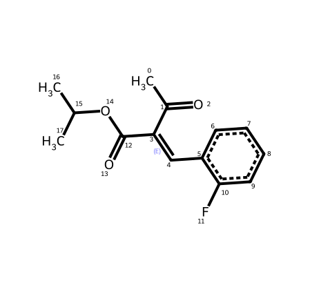 CC(=O)/C(=C\c1ccccc1F)C(=O)OC(C)C